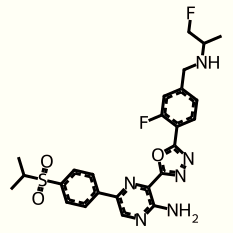 CC(CF)NCc1ccc(-c2nnc(-c3nc(-c4ccc(S(=O)(=O)C(C)C)cc4)cnc3N)o2)c(F)c1